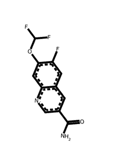 NC(=O)c1cnc2cc(OC(F)F)c(F)cc2c1